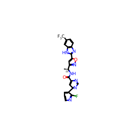 C[C@H](NC(=O)c1cc(-c2cccnc2F)ncn1)c1cc(-c2nc3ccc(C(F)(F)F)cc3[nH]2)on1